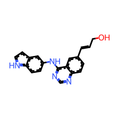 OC/C=C/c1ccc2ncnc(Nc3ccc4[nH]ccc4c3)c2c1